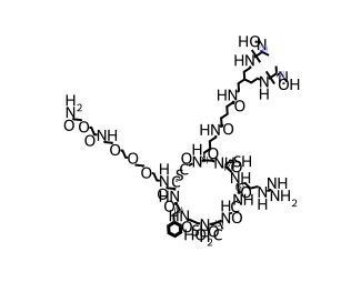 C/C(=N/O)C(C)(C)NCCC(CCNC(=O)CCCC(=O)NCCCC[C@@H]1NC(=O)CSCC(C(=O)NCCOCCOCCOCCNC(=O)COCC(N)=O)NC(=O)[C@H](Cc2ccccc2)NC(=O)C(S)NC(=O)[C@H](CC(=O)O)NC(=O)CNC(=O)[C@H](CCCNC(=N)N)NC(=O)[C@H](CS)NC1=O)CCNC(C)(C)/C(C)=N\O